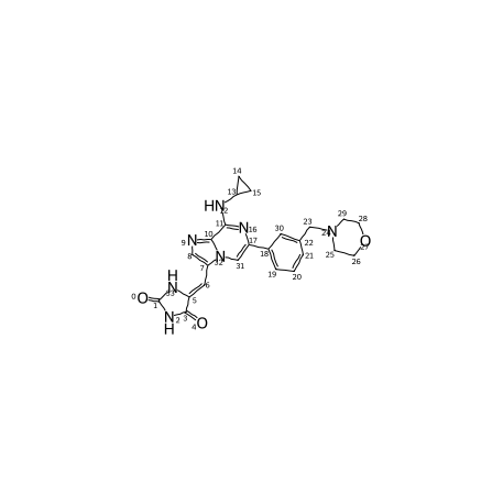 O=C1NC(=O)/C(=C/c2cnc3c(NC4CC4)nc(-c4cccc(CN5CCOCC5)c4)cn23)N1